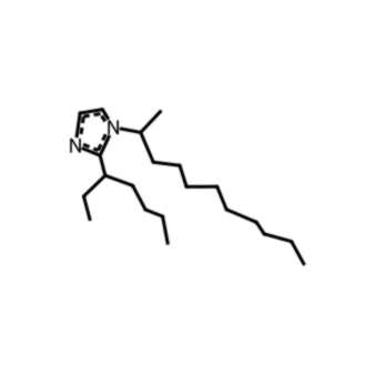 CCCCCCCCCC(C)n1ccnc1C(CC)CCCC